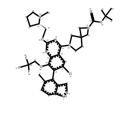 Cc1ccc2[nH]ncc2c1-c1c(Cl)cc2c(N3CCC4(CN(C(=O)OC(C)(C)C)C4)C3)nc(OC[C@@H]3CCCN3C)nc2c1OCC(F)(F)F